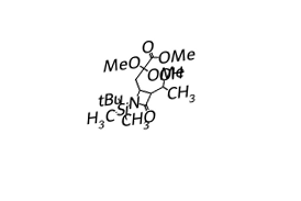 COC(=O)C(CC1C(C(C)O)C(=O)N1[Si](C)(C)C(C)(C)C)(OC)OC